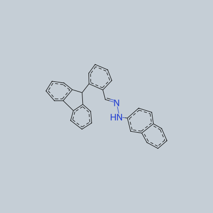 C(=NNc1ccc2ccccc2c1)c1ccccc1C1c2ccccc2-c2ccccc21